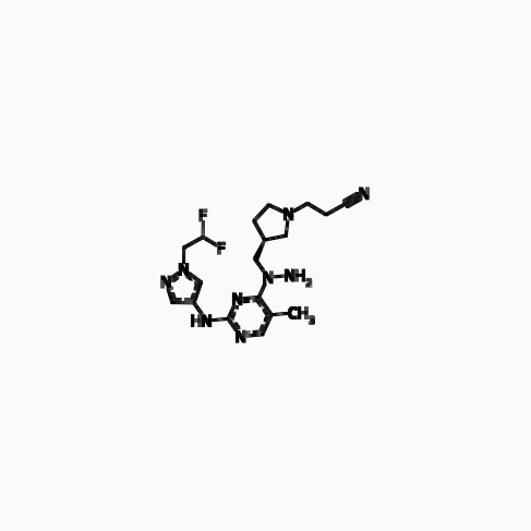 Cc1cnc(Nc2cnn(CC(F)F)c2)nc1N(N)C[C@H]1CCN(CCC#N)C1